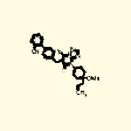 C=CC[C@]1(OC)CC[C@@H](n2c(=O)c(Cc3ccc(-c4ccccc4C#N)cc3)c(CCC)n3ncnc32)CC1